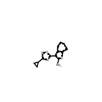 Nc1sc2ccccc2c1-c1nc(C2CC2)no1